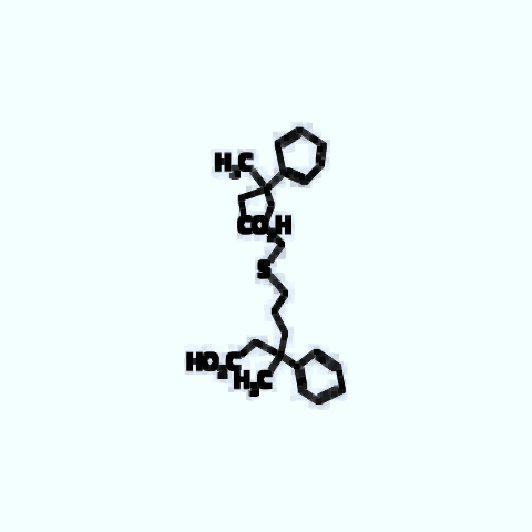 CC(CCCSCCCC(C)(CC(=O)O)c1ccccc1)(CC(=O)O)c1ccccc1